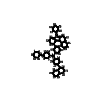 c1ccc(-c2ccc(N(c3ccc(-c4cccc5ccccc45)cc3)c3cccc(-c4cccc5c4c4c6ccccc6ccc4n5-c4ccccc4)c3)cc2)cc1